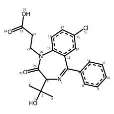 CC(C)(O)C1N=C(c2ccccc2)c2cc(Cl)ccc2N(CCC(=O)O)C1=O